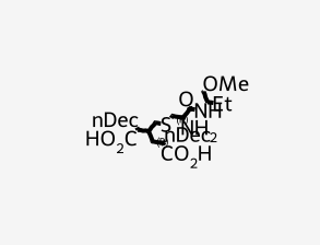 CCCCCCCCCCC(C(=O)O)C(CSC[C@H](N)C(=O)NC(CC)COC)C[C@@H](CCCCCCCCCC)C(=O)O